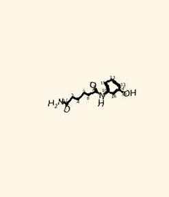 NC(=O)CCCCC(=O)Nc1cccc(O)c1